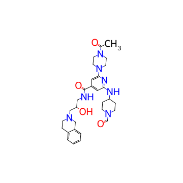 CC(=O)N1CCN(c2cc(C(=O)NCC(O)CN3CCc4ccccc4C3)cc(NC3CCN(C=O)CC3)n2)CC1